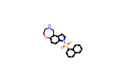 O=S(=O)(c1cccc2ccccc12)n1ccc2c3c(ccc21)OCCNC3